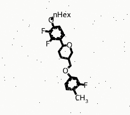 CCCCCCOc1ccc(C2CCC(COc3ccc(C)c(F)c3)CO2)c(F)c1F